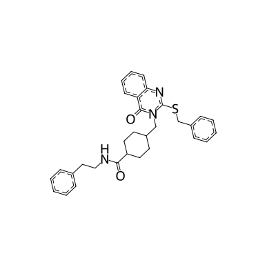 O=C(NCCc1ccccc1)C1CCC(Cn2c(SCc3ccccc3)nc3ccccc3c2=O)CC1